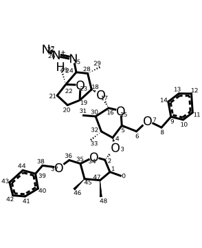 CC1[C@@H](O[C@H]2C(COCc3ccccc3)O[C@@H](O[C@@H]3C4CC[C@H](O4)C(N=[N+]=[N-])[C@@H]3C)C(C)[C@H]2C)OC(COCc2ccccc2)[C@H](C)[C@@H]1C